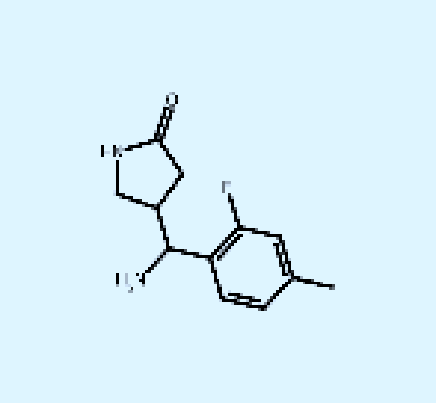 Cc1ccc(C(N)C2CNC(=O)C2)c(F)c1